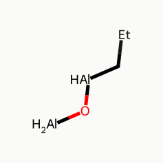 CC[CH2][AlH][O][AlH2]